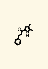 Cc1cc(C(=O)CCc2ccccc2)[nH]c1C